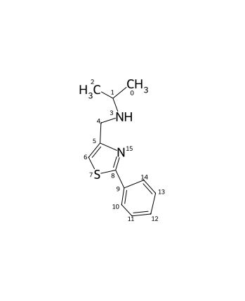 CC(C)NCc1csc(-c2ccccc2)n1